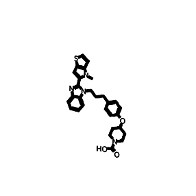 Cn1c(-c2nc3ccccc3n2CCCc2ccc(OC3CCN(C(=O)O)CC3)cc2)cc2sccc21